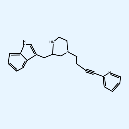 C(#Cc1ccccn1)CCN1CCNC(Cc2c[nH]c3ccccc23)C1